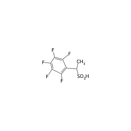 CC(c1c(F)c(F)c(F)c(F)c1F)S(=O)(=O)O